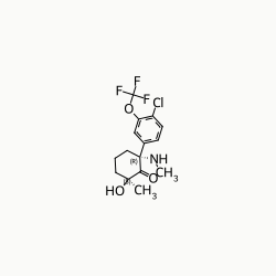 CN[C@@]1(c2ccc(Cl)c(OC(F)(F)F)c2)CCC[C@](C)(O)C1=O